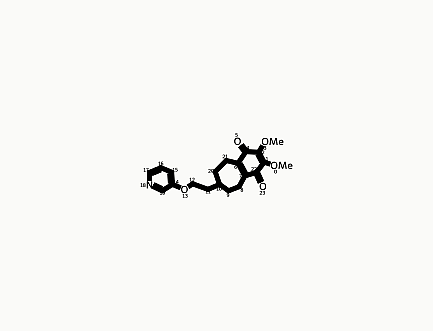 COC1=C(OC)C(=O)C2=C(CCC(CCOc3cccnc3)CC2)C1=O